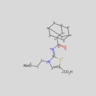 COCCn1cc(C(=O)O)sc1=NC(=O)C12CC3CC(CC(C3)C1)C2